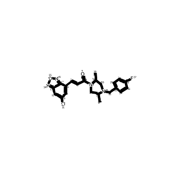 CC1CN(C(=O)C=Cc2cc(Cl)cc3nonc23)C(C)CN1Cc1ccc(F)cc1